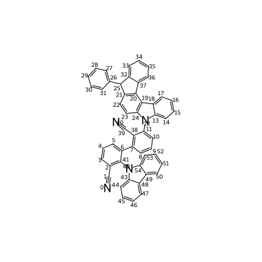 N#Cc1cccc(-c2cccc(-n3c4ccccc4c4c5c(ccc43)C(c3ccccc3)c3ccccc3-5)c2C#N)c1-n1c2ccccc2c2ccccc21